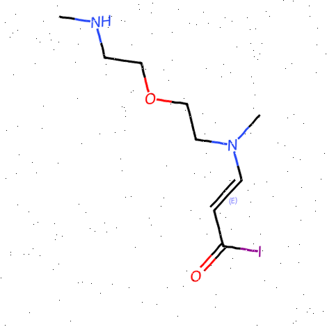 CNCCOCCN(C)/C=C/C(=O)I